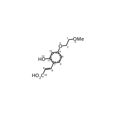 COCCOc1ccc(C=CC(=O)O)c(O)c1